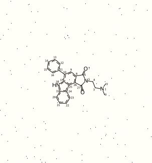 CN(C)CCN1C(=O)c2cc(-c3ccccc3)c3[nH]c4ccccc4c3c2C1=O